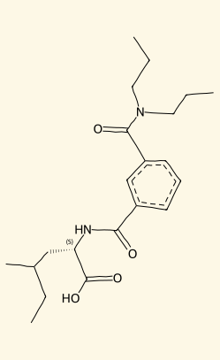 CCCN(CCC)C(=O)c1cccc(C(=O)N[C@@H](CC(C)CC)C(=O)O)c1